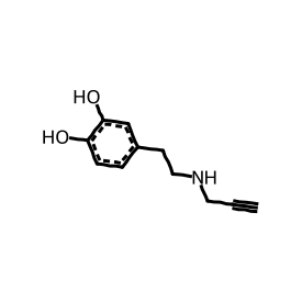 C#CCNCCc1ccc(O)c(O)c1